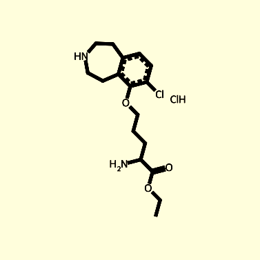 CCOC(=O)C(N)CCCOc1c(Cl)ccc2c1CCNCC2.Cl